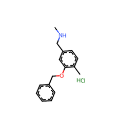 CNCc1ccc(C)c(OCc2ccccc2)c1.Cl